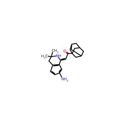 CC1(C)Cc2ccc(N)cc2/C(=C/C(=O)C23CC4CC(CC(C4)C2)C3)N1